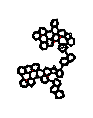 CC1CC=Cc2oc3cc(-c4ccccc4N(c4ccc(-c5ccc(-c6cccc7cc(-c8cccc9c8oc8cc(-c%10ccccc%10N(c%10ccc(-c%11cccc%12c%11ccc%11ccccc%11%12)cc%10)c%10ccccc%10-c%10cccc%11cccc(-c%12ccccc%12)c%10%11)ccc89)ccc67)cc5)cc4)c4ccccc4-c4cccc5cccc(-c6ccccc6)c45)ccc3c21